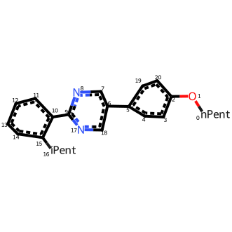 CCCCCOc1ccc(-c2cnc(-c3ccccc3C(C)CCC)nc2)cc1